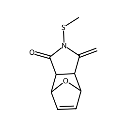 C=C1C2C3C=CC(O3)C2C(=O)N1SC